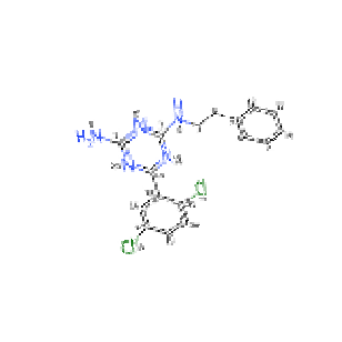 Nc1nc(NCCc2ccccc2)nc(-c2cc(Cl)ccc2Cl)n1